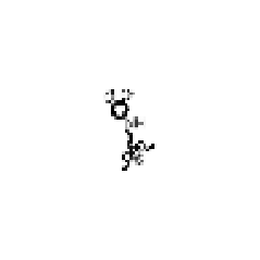 CCOP(=O)(CCCNc1ccc(OC)c(OC)c1)OCC